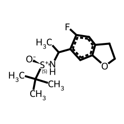 CC(N[S@+]([O-])C(C)(C)C)c1cc2c(cc1F)CCO2